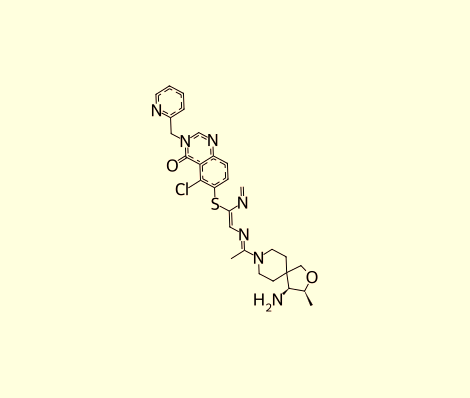 C=N/C(=C\N=C(/C)N1CCC2(CC1)CO[C@@H](C)[C@H]2N)Sc1ccc2ncn(Cc3ccccn3)c(=O)c2c1Cl